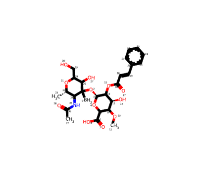 BC1(O[C@@H]2OC(C(=O)O)C(OC)[C@H](O)C2OC(=O)C=Cc2ccccc2)C(O)C(CO)O[C@@H](C)C1NC(C)=O